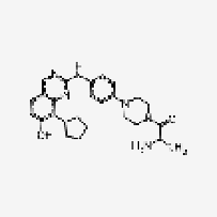 CC(N)C(=O)N1CCN(c2ccc(Nc3ncc4ccc(O)c(C5CCCC5)c4n3)cc2)CC1